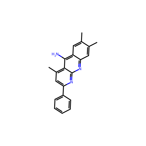 Cc1cc2nc3nc(-c4ccccc4)cc(C)c3c(N)c2cc1C